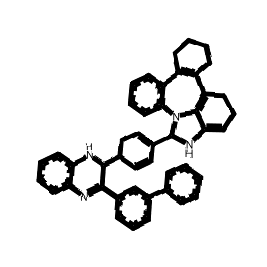 C1=CC(C2Nc3ccccc3N=C2c2cccc(-c3ccccc3)c2)CC=C1C1NC2=CCCC3=C2N1c1ccccc1C1=C3CCCC1